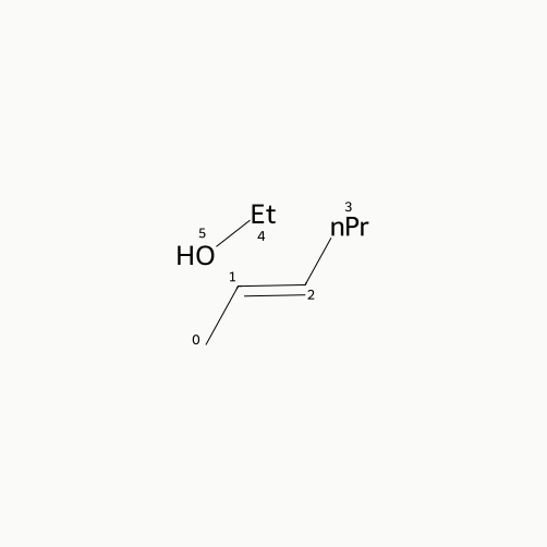 C/C=C/CCC.CCO